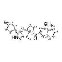 C[C@H]1C2=CNN(c3ccc(F)cc3)C2=CC2=C1[C@@H](C(=O)N(CCO)Cc1cccc(F)c1)CC2